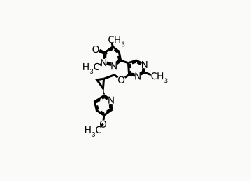 COc1ccc([C@@H]2CC2COc2nc(C)ncc2-c2cc(C)c(=O)n(C)n2)nc1